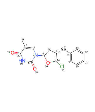 Cc1cn([C@H]2C[C@H]([Se]c3ccccc3)C(Cl)O2)c(=O)[nH]c1=O